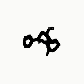 Oc1cc(-c2ccccc2)nc2c(F)cccc12